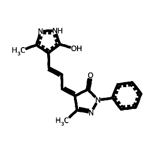 CC1=NN(c2ccccc2)C(=O)C1=CC=Cc1c(C)n[nH]c1O